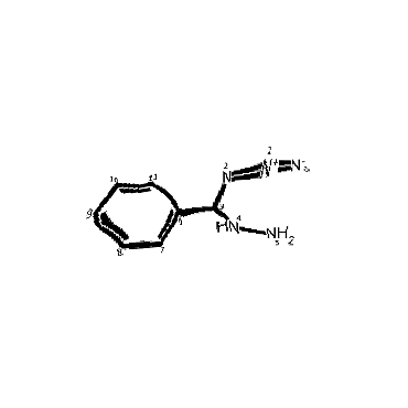 [N-]=[N+]=NC(NN)c1ccccc1